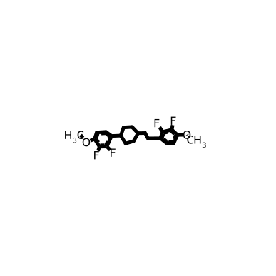 COc1ccc(CCC2CCC(c3ccc(OC)c(F)c3F)CC2)c(F)c1F